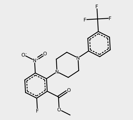 COC(=O)c1c(F)ccc([N+](=O)[O-])c1N1CCN(c2cccc(C(F)(F)F)c2)CC1